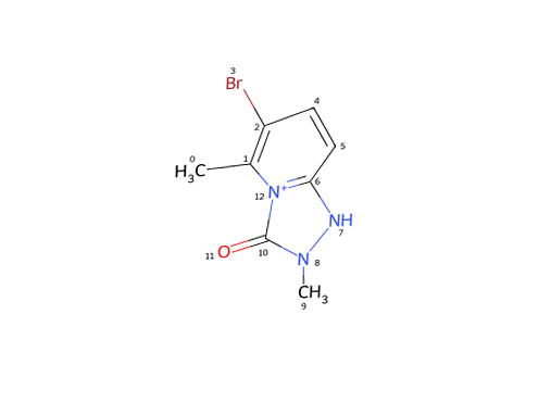 Cc1c(Br)ccc2[nH]n(C)c(=O)[n+]12